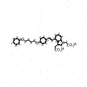 O=C(O)Cc1cn(CC(=O)O)c2cccc(C=Cc3ccc(OCCCCOc4ccccc4)cc3)c12